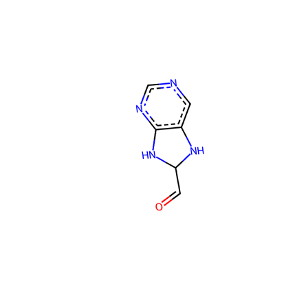 O=CC1Nc2cncnc2N1